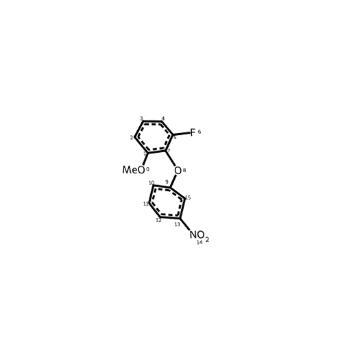 COc1cccc(F)c1Oc1cccc([N+](=O)[O-])c1